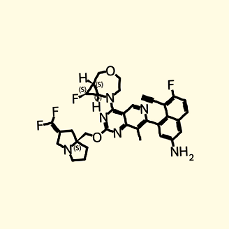 C#Cc1c(F)ccc2cc(N)cc(-c3ncc4c(N5CCOC[C@H]6[C@H](F)[C@H]65)nc(OC[C@@]56CCCN5CC(=C(F)F)C6)nc4c3C)c12